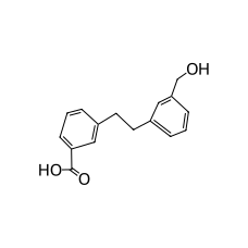 O=C(O)c1cccc(CCc2cccc(CO)c2)c1